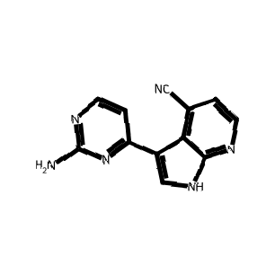 N#Cc1ccnc2[nH]cc(-c3ccnc(N)n3)c12